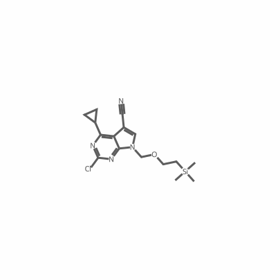 C[Si](C)(C)CCOCn1cc(C#N)c2c(C3CC3)nc(Cl)nc21